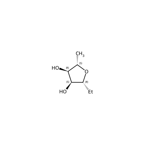 CC[C@H]1O[C@@H](C)[C@H](O)[C@@H]1O